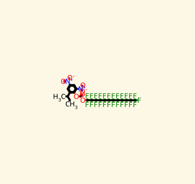 CCC(C)c1cc([N+](=O)[O-])cc([N+](=O)[O-])c1OC(=O)OC(F)(F)C(F)(F)C(F)(F)C(F)(F)C(F)(F)C(F)(F)C(F)(F)C(F)(F)C(F)(F)C(F)(F)C(F)(F)C(F)(F)F